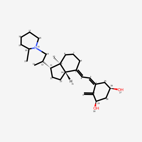 C=C1C(=CC=C2CCC[C@]3(C)[C@@H](C(C)CN4CCCCC4C)CC[C@@H]23)C[C@@H](O)C[C@H]1O